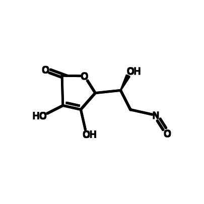 O=NC[C@H](O)C1OC(=O)C(O)=C1O